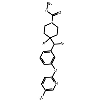 CC(C)(C)OC(=O)N1CCC(Br)(C(Br)c2cccc(Oc3ccc(C(F)(F)F)cn3)c2)CC1